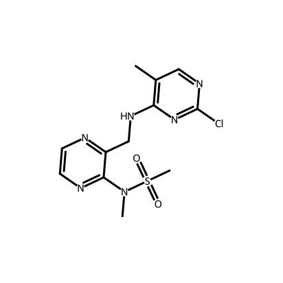 Cc1cnc(Cl)nc1NCc1nccnc1N(C)S(C)(=O)=O